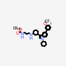 CC(C)(C)OC(=O)NCCCNC1CCCC(c2cn(C3CCCCC3)c3ccc(-c4cccc(OC(F)(F)F)c4)cc23)C1